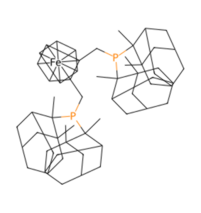 CC12CC3CC(CC(C3)C1(C)P(C[C]13[CH]4[CH]5[CH]6[C]1(CP(C1(C)C7CC8CC(C7)CC1(C)C8)C1(C)C7CC8CC(C7)CC1(C)C8)[Fe]54631789[CH]3[CH]1[CH]7[CH]8[CH]39)C1(C)C3CC4CC(C3)CC1(C)C4)C2